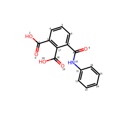 O=C(O)c1cccc(C(=O)Nc2ccccc2)c1C(=O)O